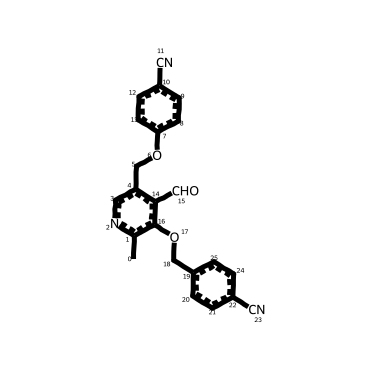 Cc1ncc(COc2ccc(C#N)cc2)c(C=O)c1OCc1ccc(C#N)cc1